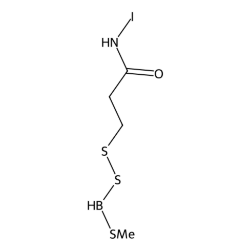 CSBSSCCC(=O)NI